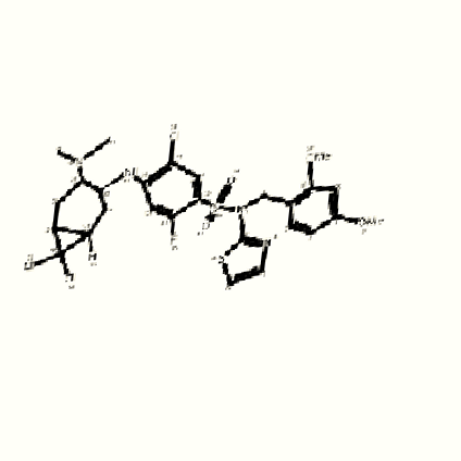 COc1ccc(CN(c2nccs2)S(=O)(=O)c2cc(Cl)c(N[C@H]3C[C@H]4C(CC3N(C)C)C4(Cl)Cl)cc2F)c(OC)c1